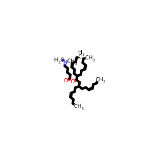 CCC/C=C\CCC(CC/C=C\CCC)CC(OC(=O)CCCCN(C)C)C(CC/C=C\CCC)CC/C=C\CCC